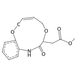 COC(=O)CC1OCC=CCOc2ccccc2NC1=O